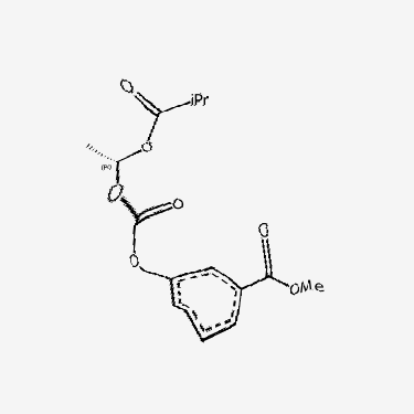 COC(=O)c1cccc(OC(=O)O[C@H](C)OC(=O)C(C)C)c1